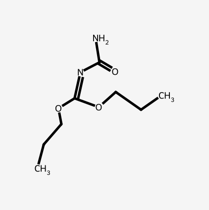 CCCOC(=NC(N)=O)OCCC